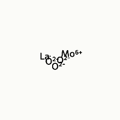 [La].[Mo+6].[O-2].[O-2].[O-2]